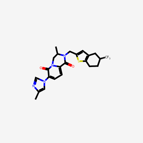 Cc1cn(-c2ccc3n(c2=O)CC(C)N(Cc2cc4c(s2)CCC(C(F)(F)F)C4)C3=O)cn1